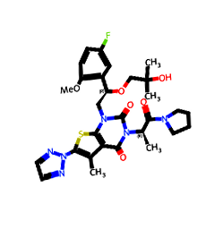 COc1ccc(F)cc1[C@H](Cn1c(=O)n([C@H](C)C(=O)N2CCCC2)c(=O)c2c(C)c(-n3nccn3)sc21)OCC(C)(C)O